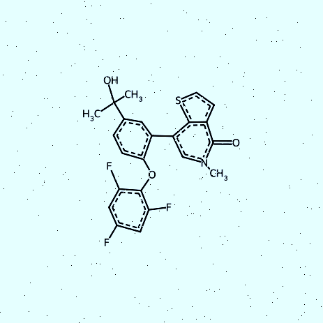 Cn1cc(-c2cc(C(C)(C)O)ccc2Oc2c(F)cc(F)cc2F)c2sccc2c1=O